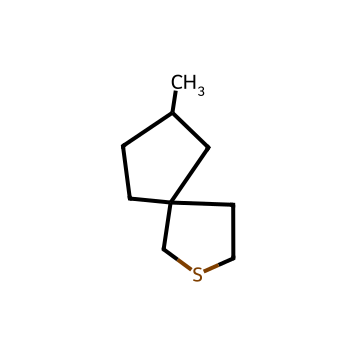 CC1CCC2(CCSC2)C1